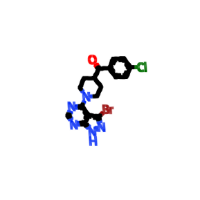 O=C(c1ccc(Cl)cc1)C1CCN(c2ncnc3[nH]nc(Br)c23)CC1